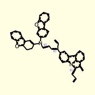 C=C/C=c1\c(=C)c2cccc3c4cc(/C(C=C)=C/C=C/N(C5=Cc6c(oc7ccccc67)CC5)c5ccc6c(c5)oc5ccccc56)ccc4n1c23